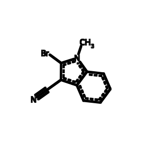 Cn1c(Br)c(C#N)c2ccccc21